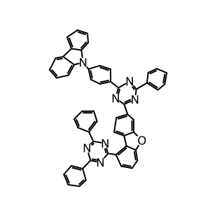 c1ccc(-c2nc(-c3ccc(-n4c5ccccc5c5ccccc54)cc3)nc(-c3ccc4c(c3)oc3cccc(-c5nc(-c6ccccc6)nc(-c6ccccc6)n5)c34)n2)cc1